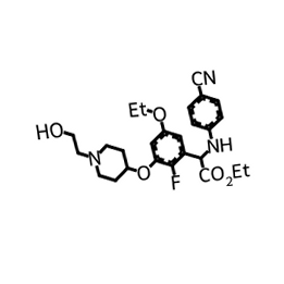 CCOC(=O)C(Nc1ccc(C#N)cc1)c1cc(OCC)cc(OC2CCN(CCO)CC2)c1F